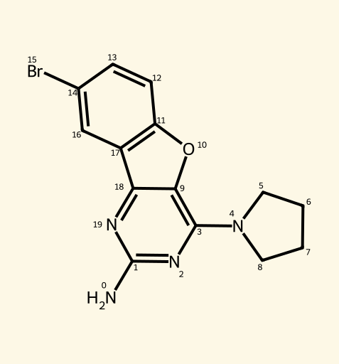 Nc1nc(N2CCCC2)c2oc3ccc(Br)cc3c2n1